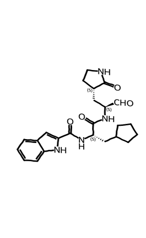 O=C[C@H](C[C@@H]1CCNC1=O)NC(=O)[C@H](CC1CCCC1)NC(=O)c1cc2ccccc2[nH]1